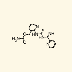 Cc1ccnc(C(=N)NC(=S)Nc2ncccc2COC(N)=O)c1